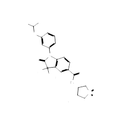 C[C@H]1CS(=O)(=O)C[C@H]1NC(=O)c1ccc2c(c1)C(C)(C)C(=O)N2c1cccc(OC(F)F)c1